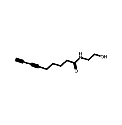 C#CC#CCCCCC(=O)NCCO